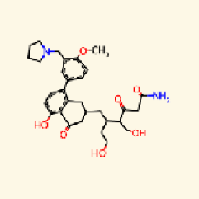 COc1ccc(-c2ccc(O)c3c2CC(CC(CCO)C(CO)C(=O)CC(N)=O)CC3=O)cc1CN1CCCC1